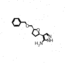 Nc1[nH]ncc1[C@H]1CC[C@@H](COCc2ccccc2)O1